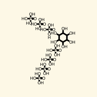 O=P(O)(O)O.O=P(O)(O)O.O=P(O)(O)O.O=P(O)(O)O.O=P(O)(O)O.O=P(O)(O)O.O=P(O)(O)O.OC1C(O)C(O)C(O)C(O)C1O